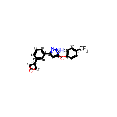 FC(F)(F)c1ccc(Oc2cc(-c3cccc([C]4COC4)c3)n[nH]2)cc1